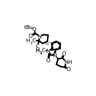 Cn1c(=O)n(C2CCC(=O)NC2=O)c2cccc([C@H]3CCN(C(=O)OC(C)(C)C)C(C)(C)C3)c21